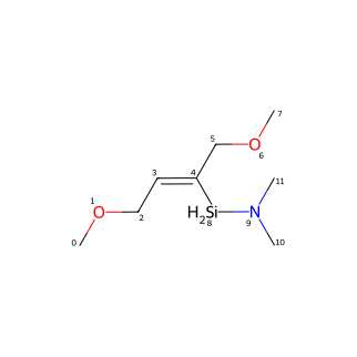 COCC=C(COC)[SiH2]N(C)C